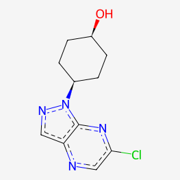 O[C@H]1CC[C@@H](n2ncc3ncc(Cl)nc32)CC1